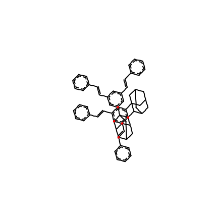 C(=Cc1cc(C=Cc2ccccc2)cc(C23CC4CC(CC(C4)C2C2C4CC5CC(C4)CC2(c2cc(C=Cc4ccccc4)cc(C=Cc4ccccc4)c2)C5)C3)c1)c1ccccc1